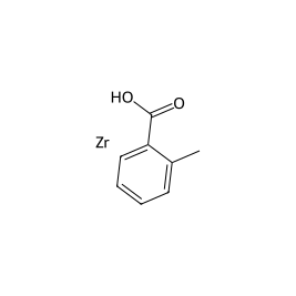 Cc1ccccc1C(=O)O.[Zr]